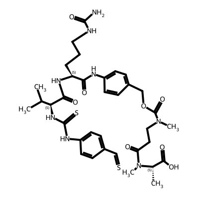 CC(C)[C@H](NC(=S)Nc1ccc(C=S)cc1)C(=O)N[C@@H](CCCNC(N)=O)C(=O)Nc1ccc(COC(=O)N(C)CCC(=O)N(C)[C@@H](C)C(=O)O)cc1